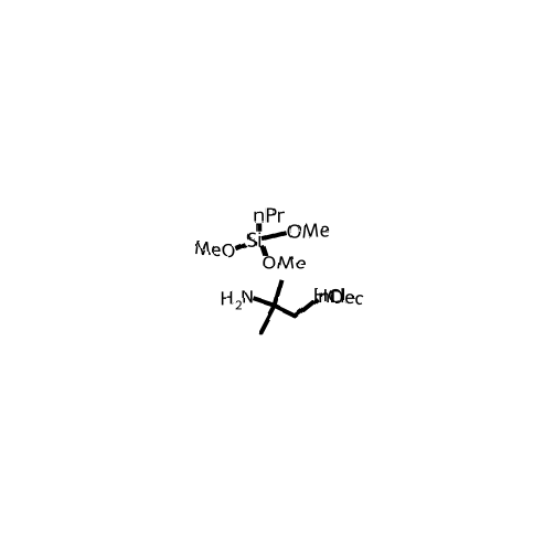 CCCCCCCCCCCC(C)(C)N.CCC[Si](OC)(OC)OC.Cl